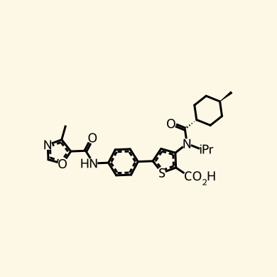 Cc1ncoc1C(=O)Nc1ccc(-c2cc(N(C(=O)[C@H]3CC[C@H](C)CC3)C(C)C)c(C(=O)O)s2)cc1